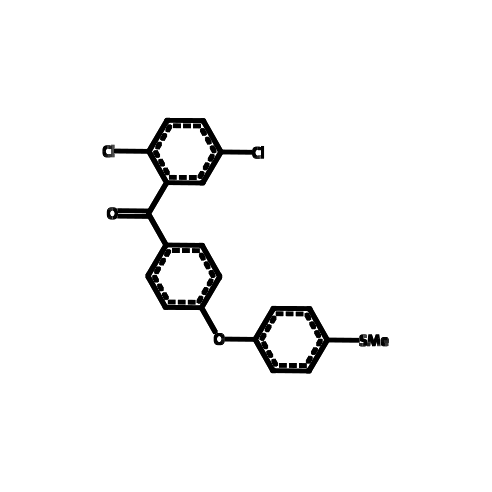 CSc1ccc(Oc2ccc(C(=O)c3cc(Cl)ccc3Cl)cc2)cc1